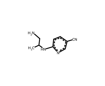 CC(CN)Nc1ccc(C#N)cn1